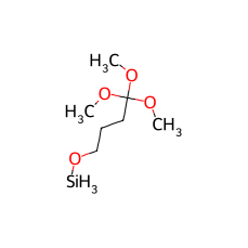 COC(CCCO[SiH3])(OC)OC